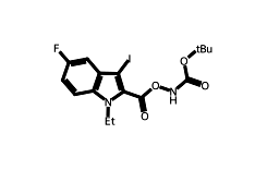 CCn1c(C(=O)ONC(=O)OC(C)(C)C)c(I)c2cc(F)ccc21